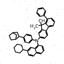 CC1(C)c2cc(N(c3ccc(C4CC5CCC4C5)cc3)c3cccc4ccc(C5CCCCC5)cc34)ccc2-c2cccc(-c3ccccc3)c21